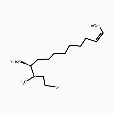 CCCCCCCC/C=C\CCCCCCC[C@H](CCCCCCC)N(C)CCS